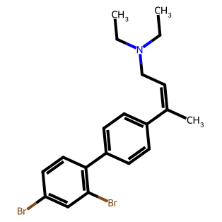 CCN(CC)C/C=C(/C)c1ccc(-c2ccc(Br)cc2Br)cc1